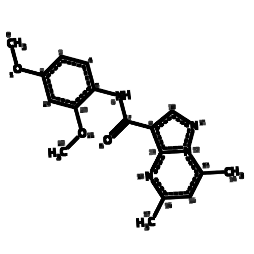 COc1ccc(NC(=O)c2cnn3c(C)cc(C)nc23)c(OC)c1